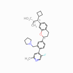 Cc1cc(-c2ccc([C@@H]3CCc4ccc([C@H](C5CCC5)[C@H](C)C(=O)O)cc4O3)cc2CN2CCCC2)c(F)cn1